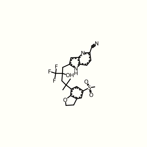 CC(C)(CC(O)(Cc1cc2nc(C#N)ccc2[nH]1)C(F)(F)F)c1cc(S(C)(=O)=O)cc2c1OCC2